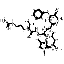 CCN[C@H](CCCNC(=N)N)C(=O)N[C@@H](Cc1cn(C)c(=S)[nH]1)C(=O)N[C@@H](CCCCN)C(=O)N[C@@H](Cc1ccccc1)C(N)=O